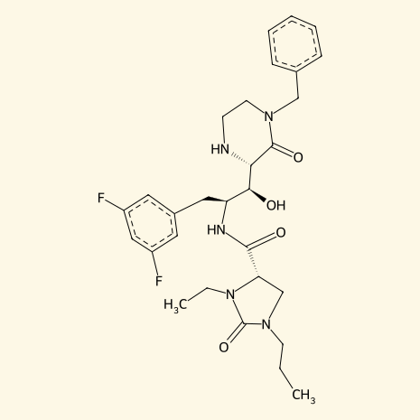 CCCN1C[C@@H](C(=O)N[C@@H](Cc2cc(F)cc(F)c2)[C@H](O)[C@@H]2NCCN(Cc3ccccc3)C2=O)N(CC)C1=O